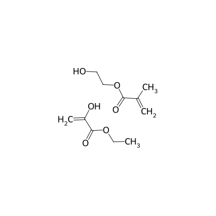 C=C(C)C(=O)OCCO.C=C(O)C(=O)OCC